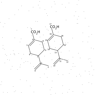 C=C(C)C1CC=C(C(=O)O)CC1.C=C(C)C1CC=C(C(=O)O)CC1